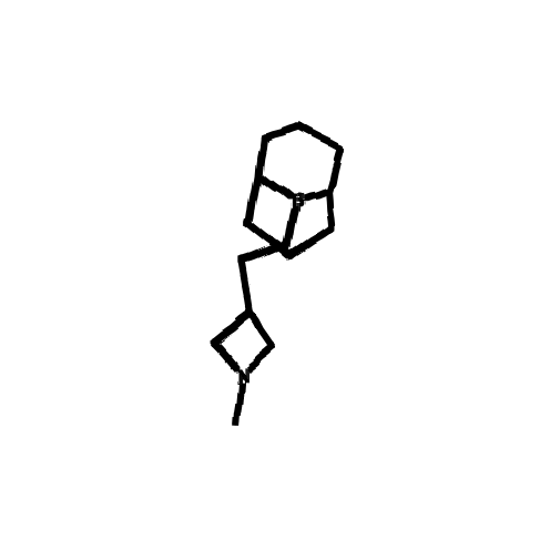 CN1CC(CCB2C3CCCC2CCC3)C1